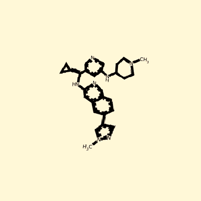 CN1CCC(Nc2cncc(C(Nc3cc4cc(-c5cnn(C)c5)ccc4cn3)=C3CC3)c2)CC1